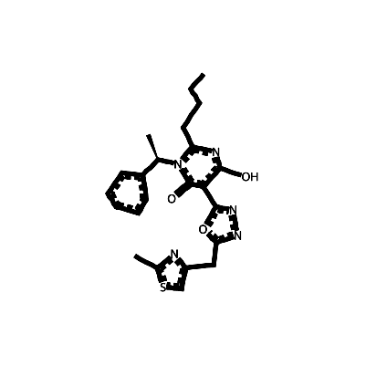 CCCCc1nc(O)c(-c2nnc(Cc3csc(C)n3)o2)c(=O)n1[C@H](C)c1ccccc1